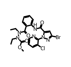 CCN(C(=O)OC)N(CC)C(=O)c1ccccc1NC(=O)c1cc(Br)nn1-c1ncccc1Cl